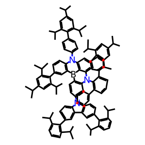 CC(C)c1cc(C(C)C)c(-c2ccc(N3c4ccc(-c5c(C(C)C)cc(C(C)C)cc5C(C)C)cc4B4c5ccc(-n6c7ccc(-c8c(C(C)C)cccc8C(C)C)cc7c7cc(-c8c(C(C)C)cccc8C(C)C)ccc76)cc5N(c5c(-c6ccccc6)cccc5-c5ccccc5)c5cc(-c6c(C(C)C)cc(C(C)C)cc6C(C)C)cc3c54)cc2)c(C(C)C)c1